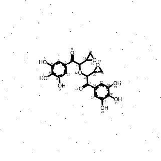 O=C(c1cc(O)c(O)c(O)c1)C(OC(C(=O)c1cc(O)c(O)c(O)c1)C1CO1)C1CO1